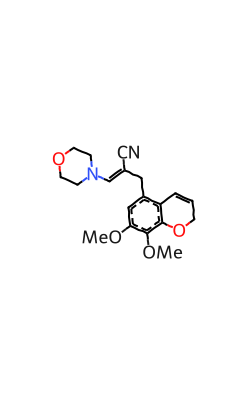 COc1cc(CC(C#N)=CN2CCOCC2)c2c(c1OC)OCC=C2